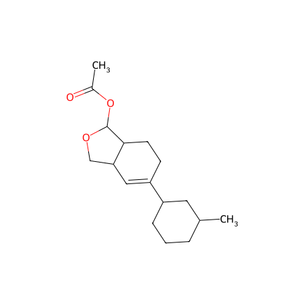 CC(=O)OC1OCC2C=C(C3CCCC(C)C3)CCC21